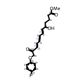 COC(=O)CCCC(O)/C=C/C=C/C=C/C(=O)COc1ccc(F)cc1